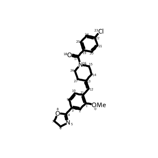 COc1cc(C2=NCCO2)ccc1C=C1CCN(C(=O)c2ccc(Cl)cc2)CC1